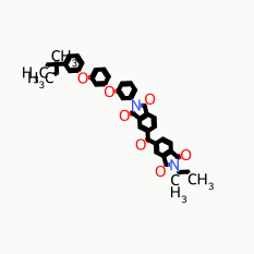 CCC(C)N1C(=O)c2ccc(C(=O)c3ccc4c(c3)C(=O)N(c3cccc(Oc5cccc(Oc6cccc(C(C)(CC)CC)c6)c5)c3)C4=O)cc2C1=O